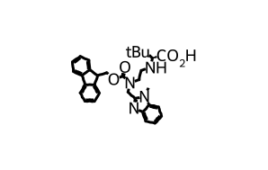 Cn1c(CN(CCN[C@H](C(=O)O)C(C)(C)C)C(=O)OCC2c3ccccc3-c3ccccc32)nc2ccccc21